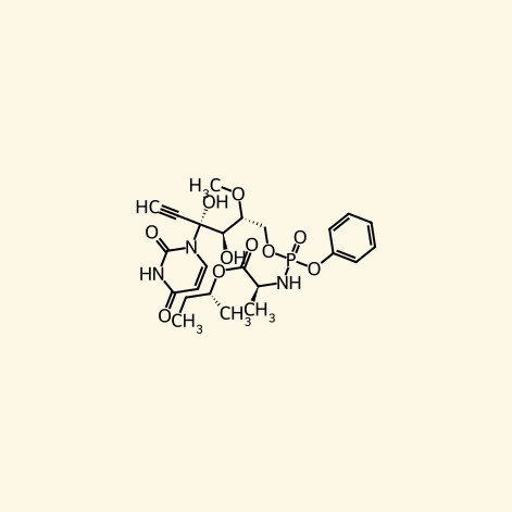 C#C[C@@](O)([C@H](O)[C@@H](COP(=O)(N[C@@H](C)C(=O)O[C@H](C)CC)Oc1ccccc1)OC)n1ccc(=O)[nH]c1=O